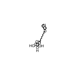 OC[C@H]1O[C@@H](O)[C@H](OCCCCCCCCCOc2ccc3ncccc3c2)[C@@H](O)[C@@H]1O